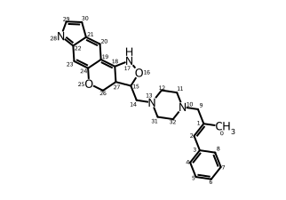 CC(=Cc1ccccc1)CN1CCN(CC2ONC3=c4cc5c(cc4OCC32)=NC=C5)CC1